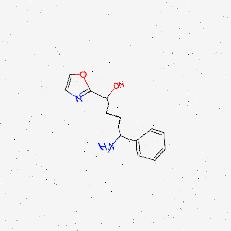 NC(CCC(O)c1ncco1)c1ccccc1